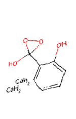 Oc1ccccc1C1(O)OO1.[CaH2].[CaH2]